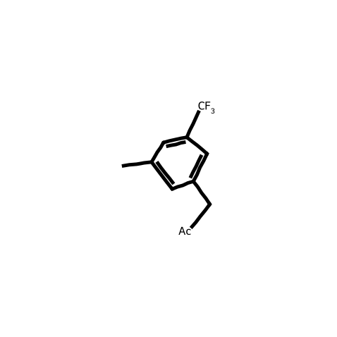 CC(=O)Cc1cc(C)cc(C(F)(F)F)c1